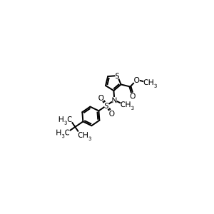 COC(=O)c1sccc1N(C)S(=O)(=O)c1ccc(C(C)(C)C)cc1